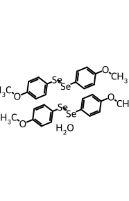 COc1ccc([Se][Se]c2ccc(OC)cc2)cc1.COc1ccc([Se][Se]c2ccc(OC)cc2)cc1.O